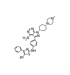 CC(C)c1sc(Nc2ccc(-c3nn([C@H]4CC[C@@H](N5CCN(C)CC5)CC4)c4ncnc(N)c34)cc2)nc1-c1ccccc1